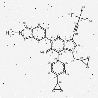 Cn1cc2cc(-n3nc4c(C#CC(F)(F)F)cn(CC5CC5)c4c(-c4ccc(C5CC5)nc4)c3=O)ccc2n1